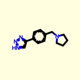 c1cc(-c2c[nH]nn2)ccc1CN1CCCC1